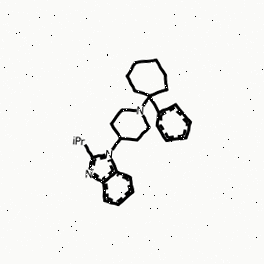 CC(C)c1nc2ccccc2n1C1CCN(C2(c3ccccc3)CCCCCC2)CC1